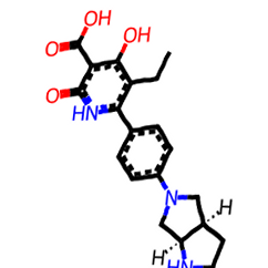 CCc1c(-c2ccc(N3C[C@H]4CCN[C@H]4C3)cc2)[nH]c(=O)c(C(=O)O)c1O